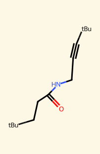 CC(C)(C)C#CCNC(=O)CCC(C)(C)C